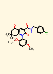 COc1ccc(OC)c(-n2c3c(cc(C(=O)NCc4ccc(Cl)cc4)c2=O)C(=O)CC(C)(C)C3)c1